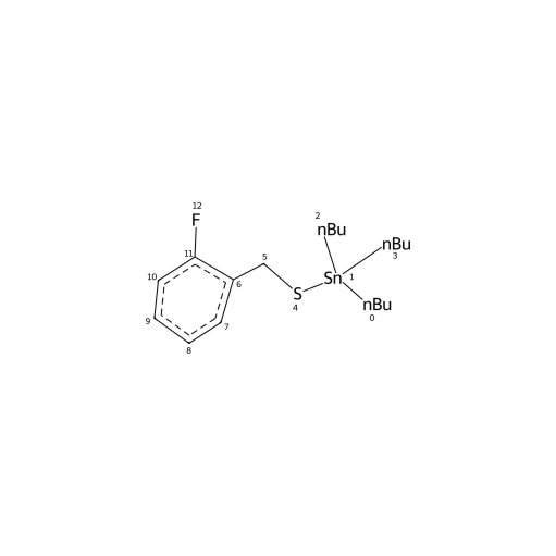 CCC[CH2][Sn]([CH2]CCC)([CH2]CCC)[S]Cc1ccccc1F